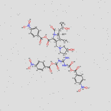 C[C@@H](O)[C@H]1C(=O)N2C(C(=O)OC(=O)c3ccc([N+](=O)[O-])cc3)=C(CN3C[C@@H](O)[C@H](N/C(=N/C(=O)OC(=O)c4ccc([N+](=O)[O-])cc4)NC(=O)OC(=O)c4ccc([N+](=O)[O-])cc4)C3)[C@H](C)[C@H]12